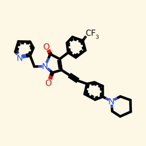 O=C1C(C#Cc2ccc(N3CCCCC3)cc2)=C(c2ccc(C(F)(F)F)cc2)C(=O)N1Cc1ccccn1